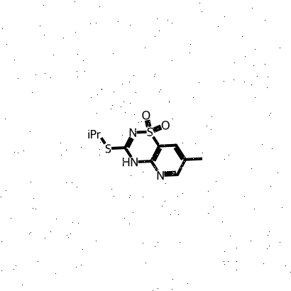 Cc1cnc2c(c1)S(=O)(=O)N=C(SC(C)C)N2